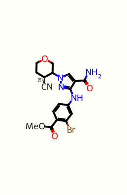 COC(=O)c1ccc(Nc2nn(C3COCC[C@@H]3C#N)cc2C(N)=O)cc1Br